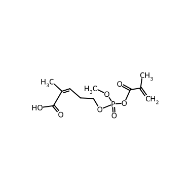 C=C(C)C(=O)OP(=O)(OC)OCCC=C(C)C(=O)O